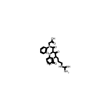 CC(=O)NC(CCCNC(=N)N)C(=O)C(C(=O)N(CC(=O)O)c1ccccc1)N(O)c1ccccc1